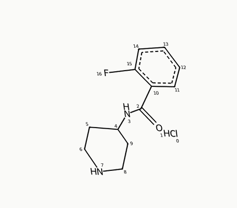 Cl.O=C(NC1CCNCC1)c1ccccc1F